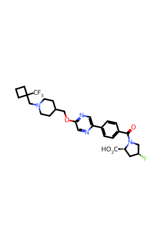 O=C(O)[C@@H]1C[C@H](F)CN1C(=O)c1ccc(-c2cnc(OCC3CCN(CC4(C(F)(F)F)CCC4)CC3)cn2)cc1